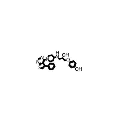 Oc1ccc(OC[C@@H](O)CNC2CCN(c3ncnc4scc(-c5ccccc5)c34)CC2)cc1